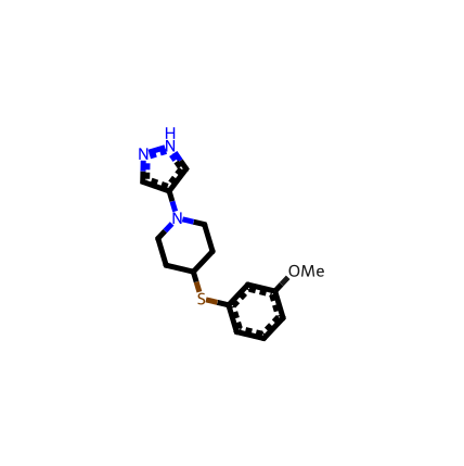 COc1cccc(SC2CCN(c3cn[nH]c3)CC2)c1